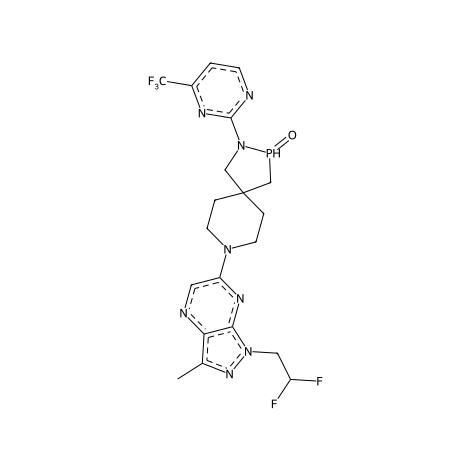 Cc1nn(CC(F)F)c2nc(N3CCC4(CC3)CN(c3nccc(C(F)(F)F)n3)[PH](=O)C4)cnc12